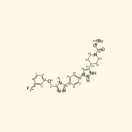 Cn1c(COc2cccc(C(F)(F)F)c2)nnc1-c1ccc(N2C=C(C3CCN(C(=O)OC(C)(C)C)CC3)NN2)cc1